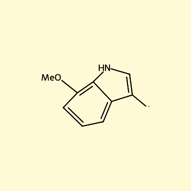 [CH2]c1c[nH]c2c(OC)cccc12